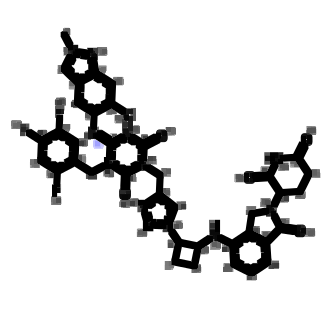 Cn1cc2cc(/N=c3\[nH]c(=O)n(Cc4cn(C5CCC5Nc5cccc6c5CN(C5CCC(=O)NC5=O)C6=O)nn4)c(=O)n3Cc3cc(F)c(F)cc3F)c(Cl)cc2n1